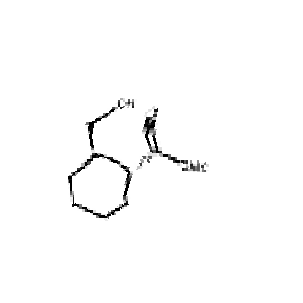 COC(=O)[C@@H]1CCCC[C@H]1CO